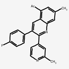 CC(=O)c1cc(C)cc2nc(-c3ccnc(C)c3)c(-c3ccc(F)cc3)cc12